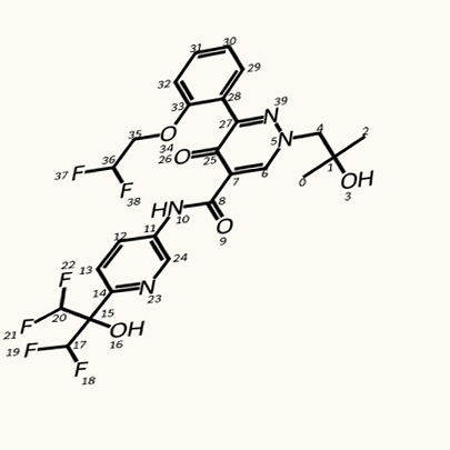 CC(C)(O)Cn1cc(C(=O)Nc2ccc(C(O)(C(F)F)C(F)F)nc2)c(=O)c(-c2ccccc2OCC(F)F)n1